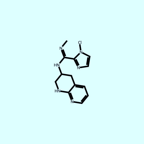 C/N=C(/NC1CNc2ncccc2C1)c1nccn1Cl